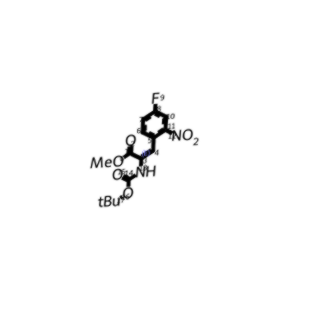 COC(=O)/C(=C\c1ccc(F)cc1[N+](=O)[O-])NC(=O)OC(C)(C)C